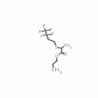 CCCOC(=O)C(C)SCCC(F)(F)C(F)(F)F